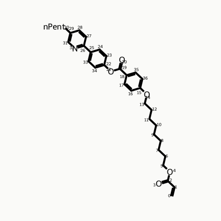 C=CC(=O)OCCCCCCCCCOc1ccc(C(=O)Oc2ccc(-c3ccc(CCCCC)cn3)cc2)cc1